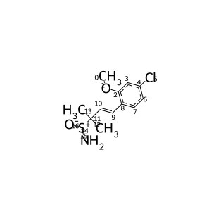 COc1cc(Cl)ccc1C=CC(C)(C)[S+](N)[O-]